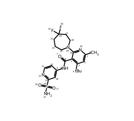 Cc1cc(C(C)(C)C)c(C(=O)Nc2ccnc(S(N)(=O)=O)c2)c(N2CCCC(F)(F)CC2)n1